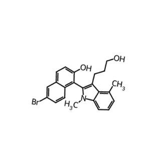 Cc1cccc2c1c(CCCO)c(-c1c(O)ccc3cc(Br)ccc13)n2C